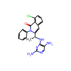 C[C@H](Nc1nc(N)ncc1N)c1cc2cccc(Cl)c2c(=O)n1-c1ccccc1